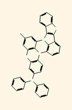 Cc1cc2c3c(c1)-n1c4c(cccc4c4oc5ccccc5c41)B3c1ccc(N(c3ccccc3)c3ccccc3)cc1O2